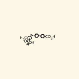 C[C@@H]1CC2(CCN1C(=O)C1(O)CC1)C[C@H]2c1ccc(-c2ccc(C(=O)O)cc2)cc1